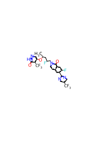 C[C@@H](C[C@H](F)Cn1ccc2cc(-c3ncc(C(F)(F)F)cn3)c(F)cc2c1=O)Oc1cn[nH]c(=O)c1C(F)(F)F